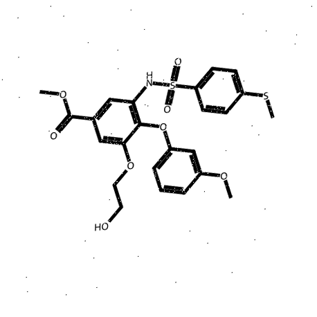 COC(=O)c1cc(NS(=O)(=O)c2ccc(SC)cc2)c(Oc2cccc(OC)c2)c(OCCO)c1